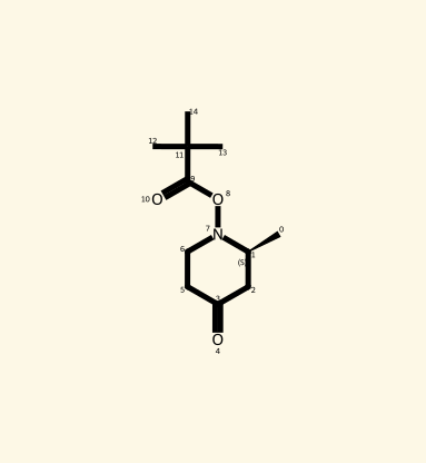 C[C@H]1CC(=O)CCN1OC(=O)C(C)(C)C